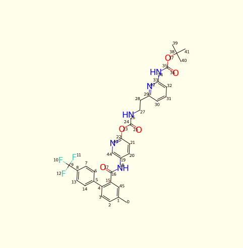 Cc1ccc(-c2ccc(C(F)(F)F)cc2)c(C(=O)Nc2ccc(OC(=O)NCCc3cccc(NC(=O)OC(C)(C)C)n3)nc2)c1